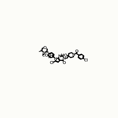 C[C@H]1COC[C@@H](c2ccc(-n3c(Cl)cc4c(=O)n(CC5(O)CCN(C(=O)c6ccc(Cl)cc6)CC5)cnc43)cc2)N1C(=O)O